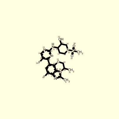 Cc1nc2c(F)cc(-c3nc(NC4CCN(S(C)(=O)=O)CC4O)ncc3F)c3c2n1C(C)CO3